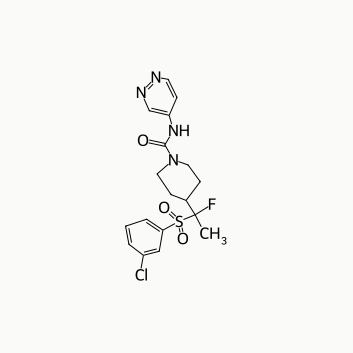 CC(F)(C1CCN(C(=O)Nc2ccnnc2)CC1)S(=O)(=O)c1cccc(Cl)c1